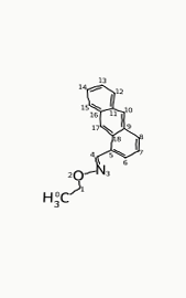 CCON=Cc1cccc2cc3ccccc3cc12